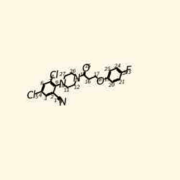 N#Cc1cc(Cl)cc(Cl)c1N1CCN(C(=O)CCOc2ccc(F)cc2)CC1